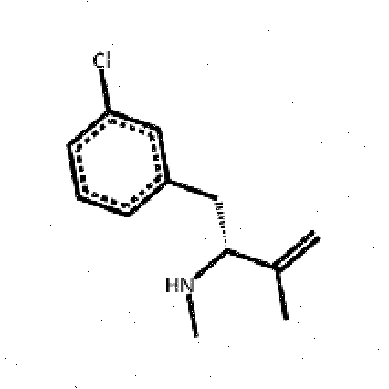 C=C(C)[C@@H](Cc1cccc(Cl)c1)NC